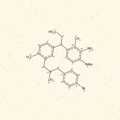 CNc1ccc(C(CC(=O)O)c2ccc(C)c(CN(C)Cc3ccc(Br)cc3)c2)c(C)c1N